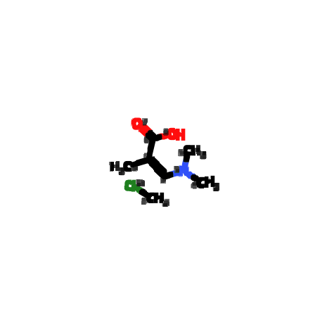 CC(=CN(C)C)C(=O)O.CCl